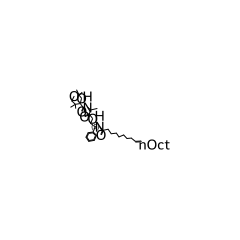 CCCCCCCCC=CCCCCCCCC(=O)N[C@H](COC(=O)C(C)NC(=O)C1OC(C)(C)OCC1(C)C)c1ccccc1